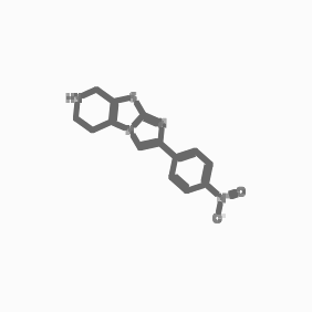 O=[N+]([O-])c1ccc(-c2cn3c4c(sc3n2)CNCC4)cc1